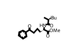 CCC(C)[C@H](C)C(=O)N[C@@H](CCCC(=O)c1ccccc1)C(=O)OC